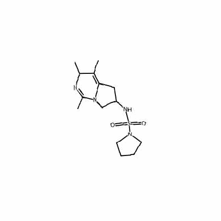 CC1=NC(C)C(C)=C2CC(NS(=O)(=O)N3CCCC3)CN12